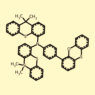 CC1(C)c2ccccc2Sc2c(N(c3ccc(-c4cccc5c4Oc4ccccc4S5)cc3)c3cccc4c3Sc3ccccc3[Si]4(C)C)cccc21